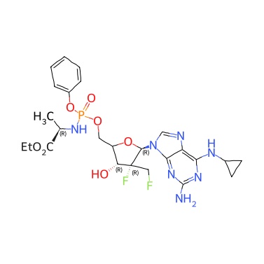 CCOC(=O)[C@@H](C)NP(=O)(OCC1O[C@@H](n2cnc3c(NC4CC4)nc(N)nc32)[C@@](F)(CF)[C@@H]1O)Oc1ccccc1